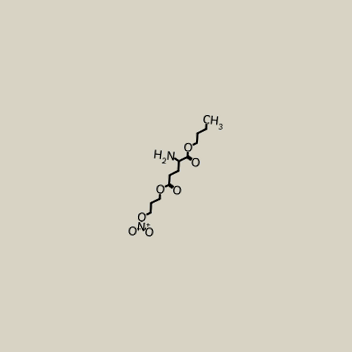 CCCCOC(=O)C(N)CCC(=O)OCCCO[N+](=O)[O-]